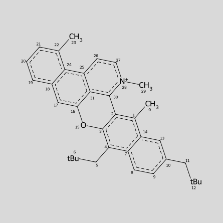 Cc1c2c(c(CC(C)(C)C)c3ccc(CC(C)(C)C)cc13)Oc1cc3cccc(C)c3c3cc[n+](C)c-2c13